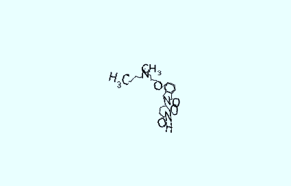 CCCCN(C)CCCOc1cccc2c1CN(C1CCC(=O)NC1=O)C2=O